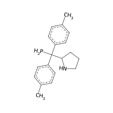 Cc1ccc(C(P)(c2ccc(C)cc2)C2CCCN2)cc1